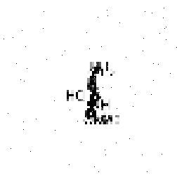 COc1ccc(-c2[nH]c3ccc(C4CCN(CCOC(N)=O)CC4)cc3c2C)cc1OC.Cl